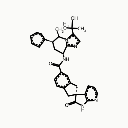 C[C@@H]1[C@H](c2ccccc2)C[C@H](NC(=O)c2ccc3c(c2)C[C@@]2(C3)C(=O)Nc3ncccc32)c2ncc(C(C)(C)O)n21